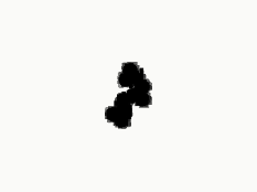 c1cc(-c2ccc3c(c2)c2ccccc2n3-c2cccc(-c3cnc4c5ccccc5c5ccccc5c4n3)c2)cc(-c2cnc3c4ccccc4c4ccccc4c3n2)c1